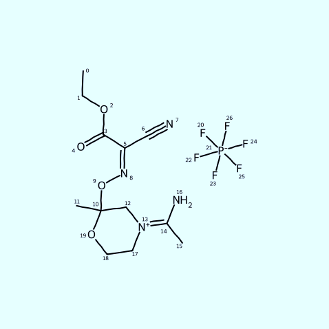 CCOC(=O)C(C#N)=NOC1(C)C/[N+](=C(/C)N)CCO1.F[P-](F)(F)(F)(F)F